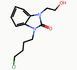 O=c1n(CCO)c2ccccc2n1CCCCCl